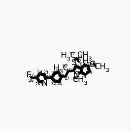 COc1ccc2c(c1)c(SC(C)(C)C)c(C(C)Cc1ccc(-c3ccc(CF)cn3)cc1)n2C